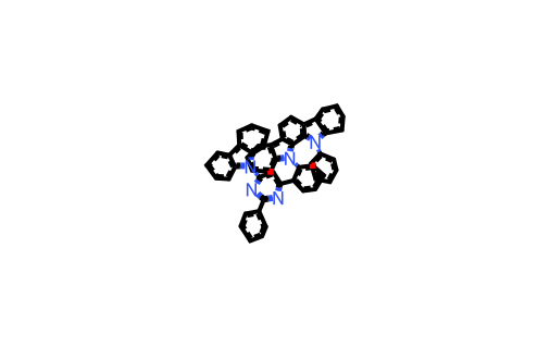 c1ccc(-c2nc(-c3ccccc3-n3c4ccccc4c4ccc5c6ccccc6n(-c6ccccc6)c5c43)cc(-n3c4ccccc4c4ccccc43)n2)cc1